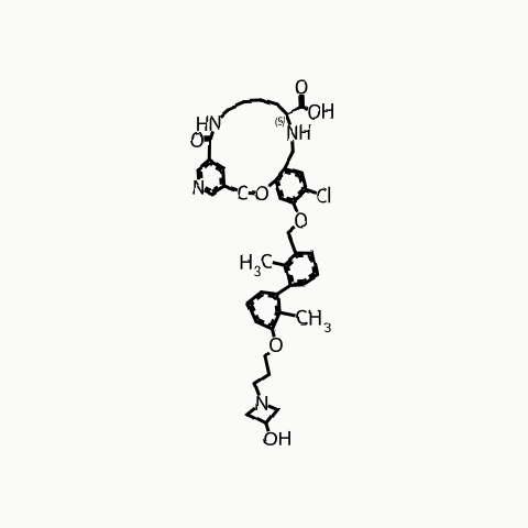 Cc1c(COc2cc3c(cc2Cl)CN[C@H](C(=O)O)CCCCNC(=O)c2cncc(c2)CO3)cccc1-c1cccc(OCCCN2CC(O)C2)c1C